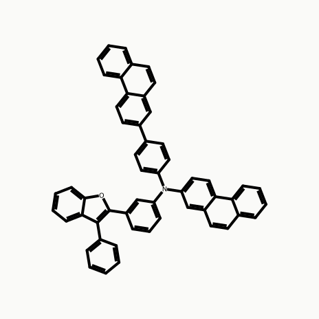 c1ccc(-c2c(-c3cccc(N(c4ccc(-c5ccc6c(ccc7ccccc76)c5)cc4)c4ccc5c(ccc6ccccc65)c4)c3)oc3ccccc23)cc1